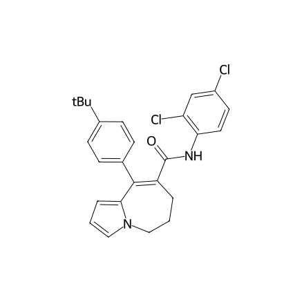 CC(C)(C)c1ccc(C2=C(C(=O)Nc3ccc(Cl)cc3Cl)CCCn3cccc32)cc1